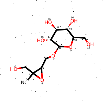 N#CC1(CO)OC1CO[C@@H]1O[C@H](CO)[C@@H](O)[C@H](O)[C@H]1O